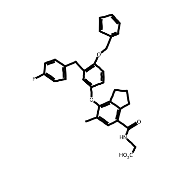 Cc1cc(C(=O)NCC(=O)O)c2c(c1Oc1ccc(OCc3ccccc3)c(Cc3ccc(F)cc3)c1)CCC2